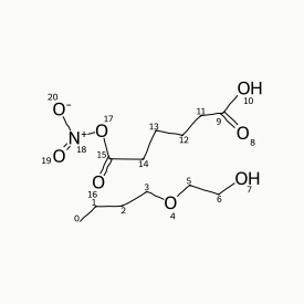 CCCCOCCO.O=C(O)CCCCC(=O)O[N+](=O)[O-]